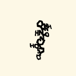 O=C(Nc1n[nH]c2ccccc12)N1CCC(O)(c2ccc(Cl)s2)CC1